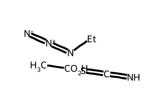 CC(=O)O.CCN=[N+]=[N-].N=C=S